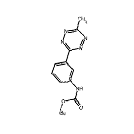 Cc1nnc(-c2cccc(NC(=O)OC(C)(C)C)c2)nn1